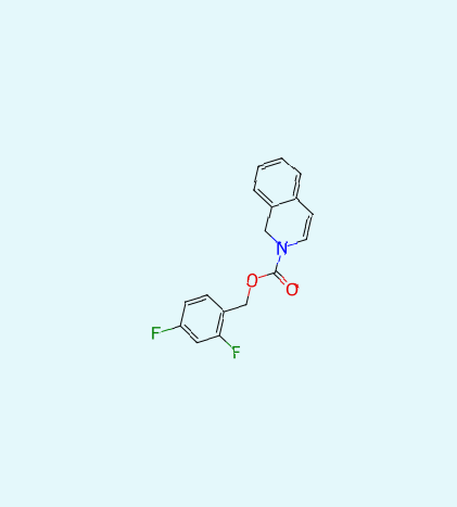 O=C(OCc1ccc(F)cc1F)N1C=Cc2ccccc2C1